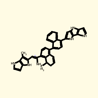 Cc1c(/C=C(\N)c2ccc(-c3ccc(-c4cc5[nH]c6cc[nH]c6c5[nH]4)c4ccccc34)c3c2C(C)CC=C3)[nH]c2cc[nH]c12